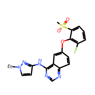 CCn1ccc(Nc2ncnc3ccc(Oc4c(F)cccc4S(C)(=O)=O)cc23)n1